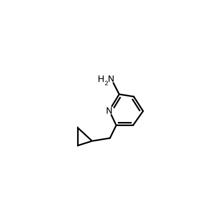 Nc1cccc(CC2CC2)n1